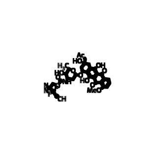 C#CC(F)(F)C1(COC(=O)NC2CC(O[C@H]3C[C@](O)(CC(C)=O)Cc4c(O)c5c(c(O)c43)C(=O)c3c(OC)cccc3C5=O)OC(C)C2O)N=N1